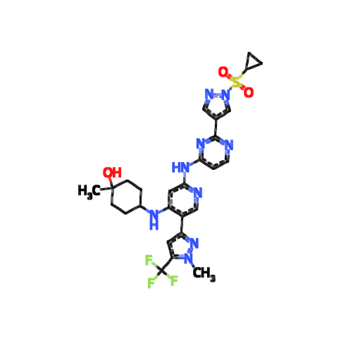 Cn1nc(-c2cnc(Nc3ccnc(-c4cnn(S(=O)(=O)C5CC5)c4)n3)cc2NC2CCC(C)(O)CC2)cc1C(F)(F)F